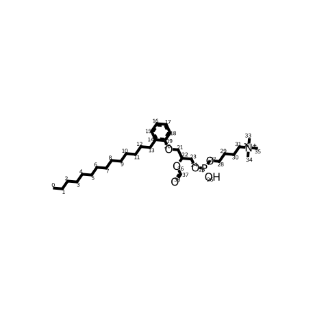 CCCCCCCCCCCCCCc1ccccc1OCC(COP(O)OCCCC[N+](C)(C)C)OC=O